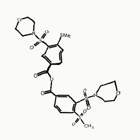 CSc1ccc(C(=O)OC(=O)c2ccc(S(C)(=O)=O)c(S(=O)(=O)N3CCOCC3)c2)cc1S(=O)(=O)N1CCOCC1